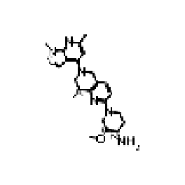 CO[C@H]1CN(c2ccc3c(n2)[C@@H](C)CN(c2cc(C)nc4c2cnn4C)C3)CC[C@@H]1N